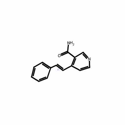 NC(=O)c1cnccc1/C=C/c1ccccc1